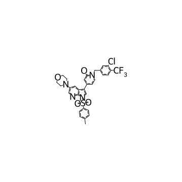 Cc1ccc(S(=O)(=O)n2cc(-c3ccn(Cc4ccc(C(F)(F)F)c(Cl)c4)c(=O)c3)c3cc(N4CCOCC4)cnc32)cc1